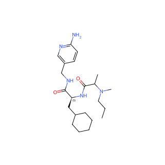 CCCN(C)C(C)C(=O)N[C@@H](CC1CCCCC1)C(=O)NCc1ccc(N)nc1